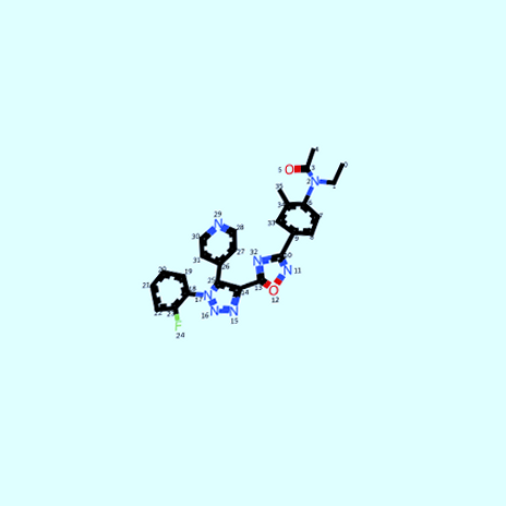 CCN(C(C)=O)c1ccc(-c2noc(-c3nnn(-c4ccccc4F)c3-c3ccncc3)n2)cc1C